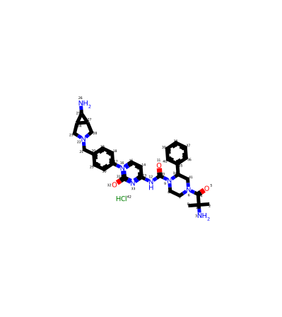 CC(C)(N)C(=O)N1CCN(C(=O)Nc2ccn(-c3ccc(CN4CC5C(N)C5C4)cc3)c(=O)n2)C(c2ccccc2)C1.Cl